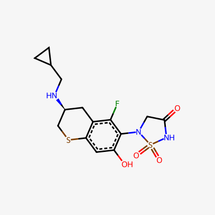 O=C1CN(c2c(O)cc3c(c2F)C[C@H](NCC2CC2)CS3)S(=O)(=O)N1